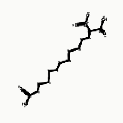 O=C(O)CCCCCCCCCCCC(C(=O)O)[N+](=O)[O-]